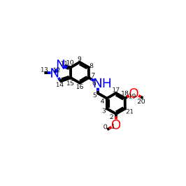 COc1cc(CNc2ccc3nn(C)cc3c2)cc(OC)c1